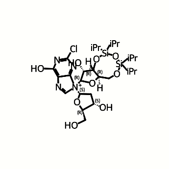 CC(C)[Si]1(C(C)C)OC[C@H]2O[C@@H]([N+]3([C@@H]4C[C@H](O)[C@@H](CO)O4)C=Nc4c(O)nc(Cl)nc43)[C@H](O)[C@@H]2O[Si](C(C)C)(C(C)C)O1